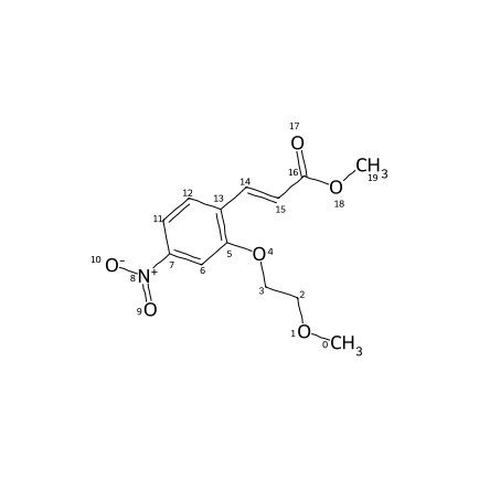 COCCOc1cc([N+](=O)[O-])ccc1/C=C/C(=O)OC